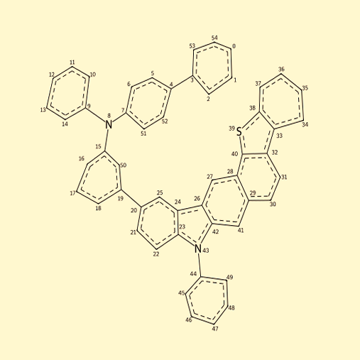 c1ccc(-c2ccc(N(c3ccccc3)c3cccc(-c4ccc5c(c4)c4cc6c(ccc7c8ccccc8sc67)cc4n5-c4ccccc4)c3)cc2)cc1